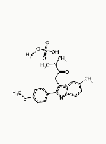 COS(=O)(=O)O.CSc1ccc(-c2nc3ccc(C)cn3c2CC(=O)N(C)C)cc1